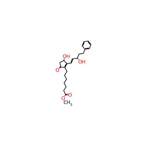 COC(=O)CCCCCCC1=C(C=CC(O)CCc2ccccc2)C(O)CC1=O